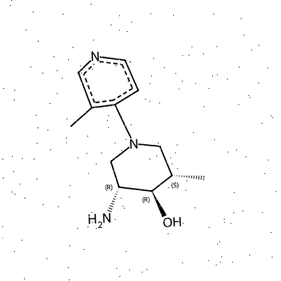 Cc1cnccc1N1C[C@@H](N)[C@H](O)[C@@H](C)C1